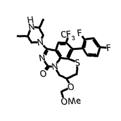 COCOC1CSc2c(-c3ccc(F)cc3F)c(C(F)(F)F)cc3c(N4CC(C)NC(C)C4)nc(=O)n(c23)C1